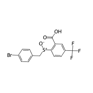 O=C(O)c1cc(C(F)(F)F)ccc1[S+]([O-])Cc1ccc(Br)cc1